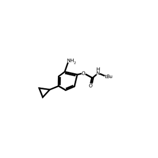 CC(C)(C)NC(=O)Oc1ccc(C2CC2)cc1N